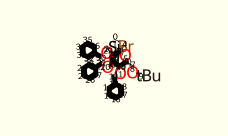 C[SiH](C)[C@]1(Br)O[C@H](COC(C)(C)C)[C@@H](OCc2ccccc2)[C@H](OCc2ccccc2)[C@H]1OCc1ccccc1